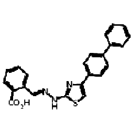 O=C(O)c1ccccc1/C=N/Nc1nc(-c2ccc(-c3ccccc3)cc2)cs1